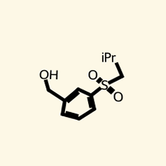 CC(C)CS(=O)(=O)c1cccc(CO)c1